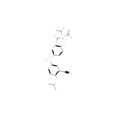 CC(C)Oc1ccc(Nc2ccc(O[Si](C(C)C)(C(C)C)C(C)C)cc2)cc1C#N